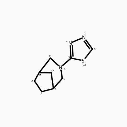 c1nnc(N2CC3CCC(C3)C2)s1